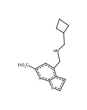 CCOC(=O)c1cc(CNCC2CCC2)c2ccsc2n1